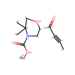 CC#CC(=O)[C@@H]1CN(C(=O)OC(C)(C)C)C(C)(C)CO1